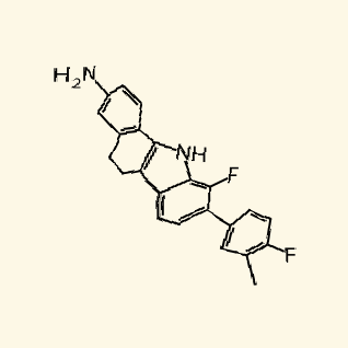 Cc1cc(-c2ccc3c4c([nH]c3c2F)-c2ccc(N)cc2CC4)ccc1F